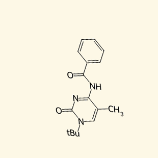 Cc1cn(C(C)(C)C)c(=O)nc1NC(=O)c1ccccc1